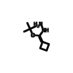 CC(C)(C)OC(NN)=C1CCC1